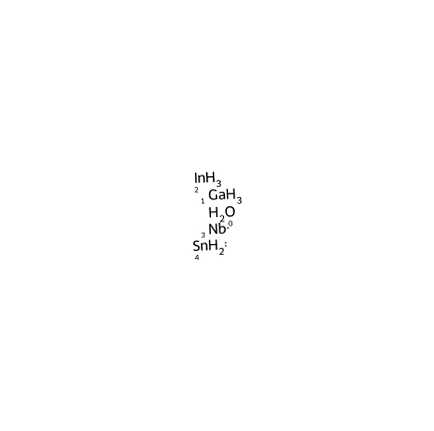 O.[GaH3].[InH3].[Nb].[SnH2]